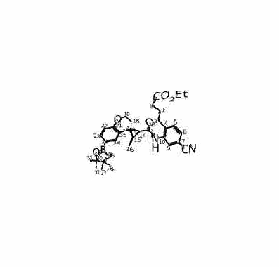 CCOC(=O)CCCc1ccc(C#N)cc1NC(=O)C1C(C)[C@]12CCOc1ccc(B3OC(C)(C)C(C)(C)O3)cc12